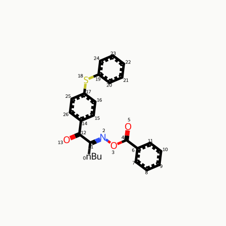 CCCC/C(=N\OC(=O)c1ccccc1)C(=O)c1ccc(Sc2ccccc2)cc1